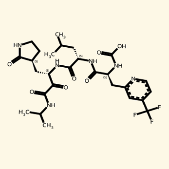 CC(C)C[C@H](NC(=O)[C@H](Cc1cc(C(F)(F)F)ccn1)NC(=O)O)C(=O)N[C@@H](C[C@@H]1CCNC1=O)C(=O)C(=O)NC(C)C